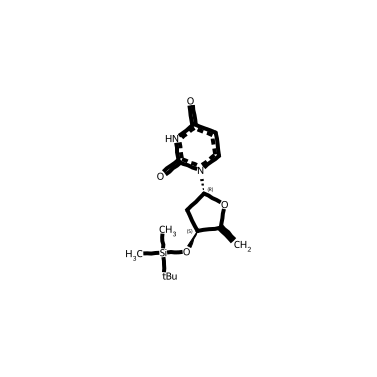 C=C1O[C@@H](n2ccc(=O)[nH]c2=O)C[C@@H]1O[Si](C)(C)C(C)(C)C